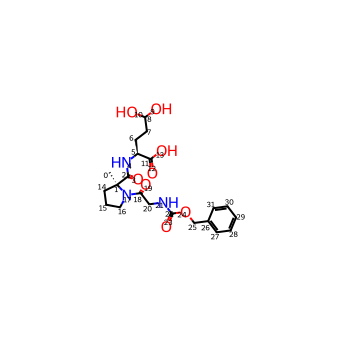 C[C@@]1(C(=O)N[C@@H](CCC(O)O)C(=O)O)CCCN1C(=O)CNC(=O)OCc1ccccc1